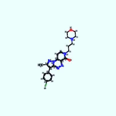 Cc1nn2c(nnc3c(=O)n(CCCN4CCOCC4)ccc32)c1-c1ccc(F)cc1